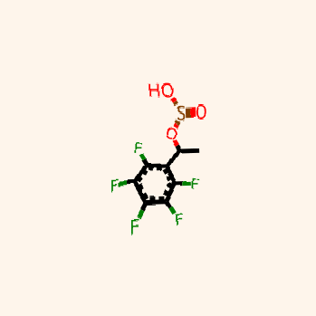 CC(OS(=O)O)c1c(F)c(F)c(F)c(F)c1F